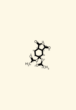 CC(=O)OC1(OC(C)=O)CCC2C(=O)OC(=O)C2C1